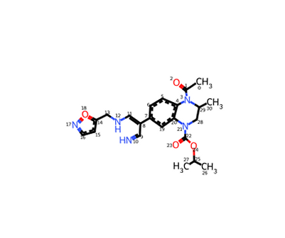 CC(=O)N1c2ccc(/C(C=N)=C/NCc3ccno3)cc2N(C(=O)OC(C)C)CC1C